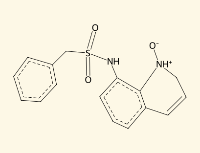 O=S(=O)(Cc1ccccc1)Nc1cccc2c1[NH+]([O-])CC=C2